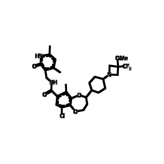 COC1(C(F)(F)F)CN(C2CCC(C3CCOc4c(Cl)cc(C(=O)NCc5c(C)cc(C)[nH]c5=O)c(C)c4O3)CC2)C1